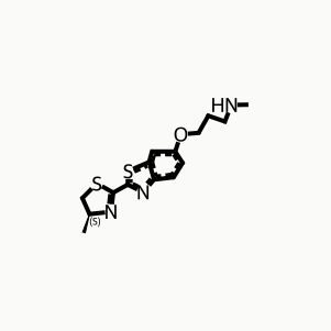 CNCCCOc1ccc2nc(C3=N[C@@H](C)CS3)sc2c1